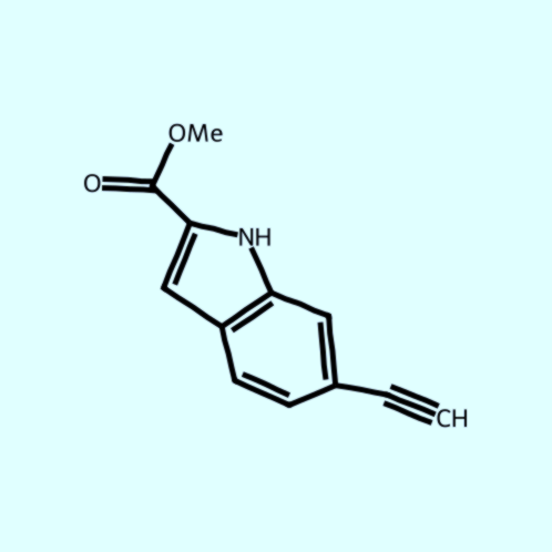 C#Cc1ccc2cc(C(=O)OC)[nH]c2c1